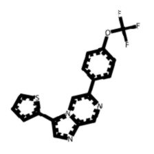 FC(F)(F)Oc1ccc(-c2cn3c(-c4cccs4)cnc3cn2)cc1